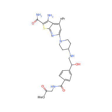 CCCc1cc(N2CCC(NCC(O)c3ccc(C(=O)NCC(=O)OC)cc3)CC2)nc2sc(C(N)=O)c(N)c12